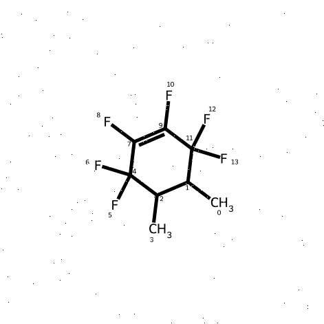 CC1C(C)C(F)(F)C(F)=C(F)C1(F)F